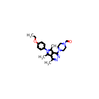 CCOc1ccc(-n2c(C)c3c(C)nnc(N4CCN(C=O)CC4)c3c2C)cc1